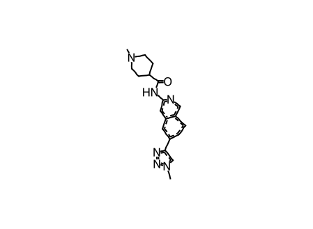 CN1CCC(C(=O)Nc2cc3cc(-c4cn(C)nn4)ccc3cn2)CC1